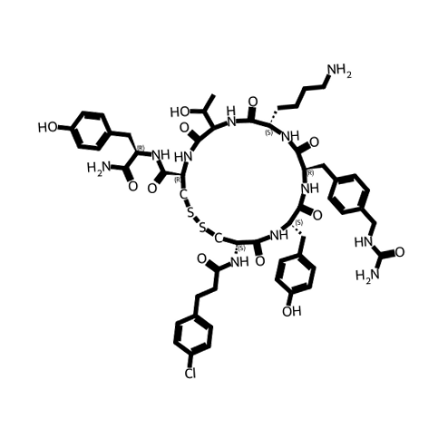 CC(O)C1NC(=O)[C@H](CCCCN)NC(=O)[C@@H](Cc2ccc(CNC(N)=O)cc2)NC(=O)[C@H](Cc2ccc(O)cc2)NC(=O)[C@H](NC(=O)CCc2ccc(Cl)cc2)CSSC[C@@H](C(=O)N[C@H](Cc2ccc(O)cc2)C(N)=O)NC1=O